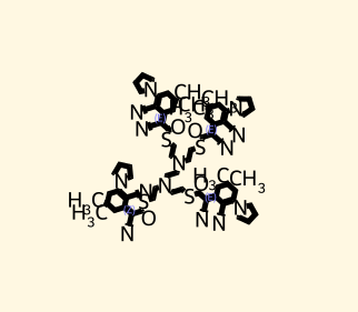 CC1(C)CC(N2CCCC2)=C(C#N)/C(=C(/C#N)C(=O)SCCN(CCSC(=O)/C(C#N)=C2\CC(C)(C)CC(N3CCCC3)=C2C#N)CCN(CCSC(=O)/C(C#N)=C2\CC(C)(C)CC(N3CCCC3)=C2C#N)CCSC(=O)/C(C#N)=C2\CC(C)(C)CC(N3CCCC3)=C2C#N)C1